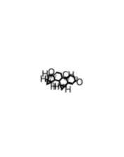 C[C@]12CCC(=O)C=C1[C@@H]1C[C@@H]1C1C2CC[C@]23O[C@H]2[C@H]2C[C@H]2C13